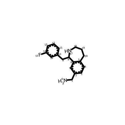 NCc1ccc2c(c1)C(Cc1cccc(F)c1)NCCC2